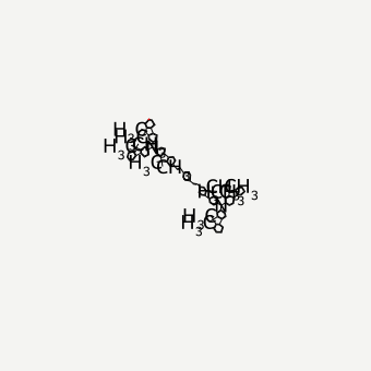 CC1(C)c2ccccc2-c2ccc(N(c3ccc4c(c3)C(C)(C)c3ccccc3-4)c3ccc4c(c3)C(C)(C)c3cc(/C=C/c5ccc(/C=C/c6ccc7c(c6)C(C)(C)c6cc(N(c8ccc9c(c8)C(C)(C)c8ccccc8-9)c8ccc9c(c8)C(C)(C)c8ccccc8-9)ccc6-7)cc5)ccc3-4)cc21